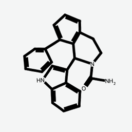 NC(=O)N1CCc2cccc(-c3ccccc3)c2C1c1c[nH]c2ccccc12